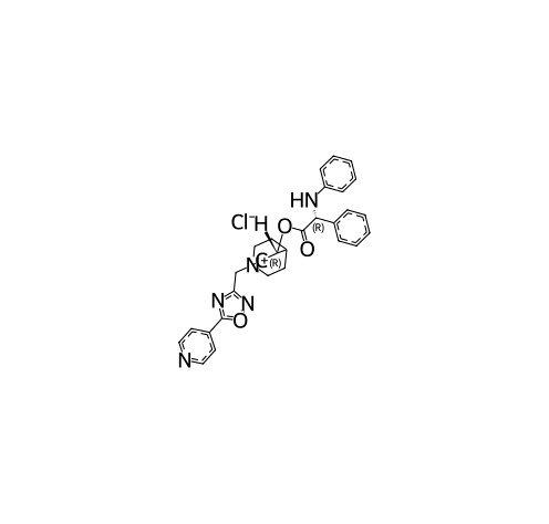 O=C(O[C@H]1C[N+]2(Cc3noc(-c4ccncc4)n3)CCC1CC2)[C@H](Nc1ccccc1)c1ccccc1.[Cl-]